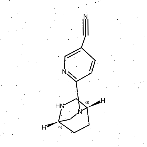 N#Cc1ccc(N2C[C@@H]3CC[C@H]2CN3)nc1